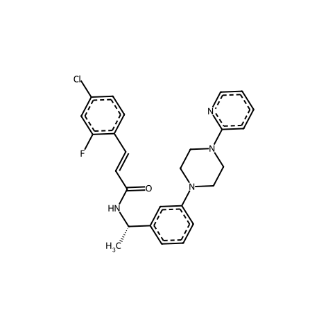 C[C@H](NC(=O)C=Cc1ccc(Cl)cc1F)c1cccc(N2CCN(c3ccccn3)CC2)c1